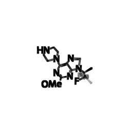 COc1nc(N2CCNCC2)c2ncn([C@@H](C)[C@H](C)F)c2n1